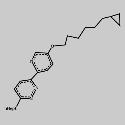 CCCCCCCc1ccc(-c2ccc(OCCCCCCC3CC3)cn2)nn1